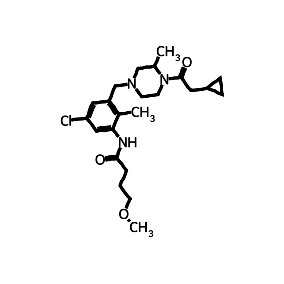 COCCCC(=O)Nc1cc(Cl)cc(CN2CCN(C(=O)CC3CC3)C(C)C2)c1C